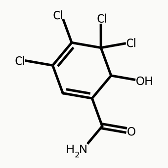 NC(=O)C1=CC(Cl)=C(Cl)C(Cl)(Cl)C1O